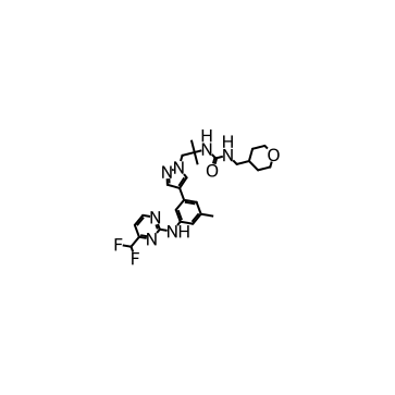 Cc1cc(Nc2nccc(C(F)F)n2)cc(-c2cnn(CC(C)(C)NC(=O)NCC3CCOCC3)c2)c1